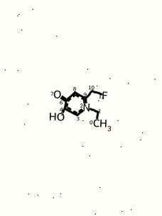 CCn1cc(O)c(=O)cc1CF